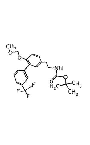 COCOc1ccc(CCNC(=O)OC(C)(C)C)cc1-c1cccc(C(F)(F)F)c1